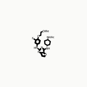 COCCOc1ccc(Nc2nc(N[C@H]3CC[C@@H](NC(C)=O)CC3)c3sccc3n2)cc1F